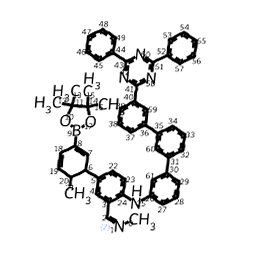 C/N=C\c1cc(C2C=C(B3OC(C)(C)C(C)(C)O3)C=CC2C)ccc1Nc1cccc(-c2cccc(-c3cccc(-c4nc(-c5ccccc5)nc(-c5ccccc5)n4)c3)c2)c1